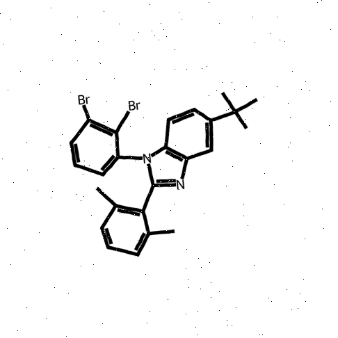 Cc1cccc(C)c1-c1nc2cc(C(C)(C)C)ccc2n1-c1cccc(Br)c1Br